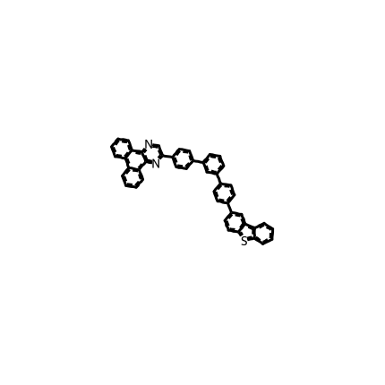 c1cc(-c2ccc(-c3ccc4sc5ccccc5c4c3)cc2)cc(-c2ccc(-c3cnc4c5ccccc5c5ccccc5c4n3)cc2)c1